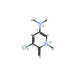 C=C1C(Cl)=CC(N(C)C)=CN1C